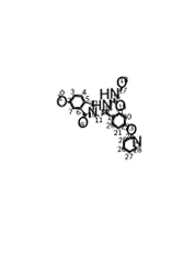 COc1ccc2c(c1)C(=O)N(C[C@H](NC(=O)NC=O)c1ccc(Oc3ccccn3)cc1)C2